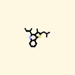 C/C=C(\C)c1nc2ccccc2c2sc(CC(C)C)c(C)c12